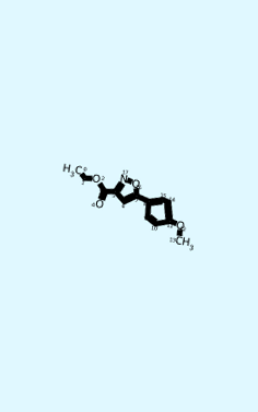 CCOC(=O)c1cc(-c2ccc(OC)cc2)on1